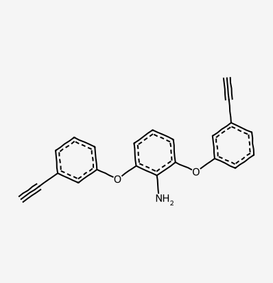 C#Cc1cccc(Oc2cccc(Oc3cccc(C#C)c3)c2N)c1